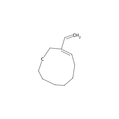 C=CC1=CCCCCCCCC1